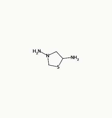 NC1CN(N)CS1